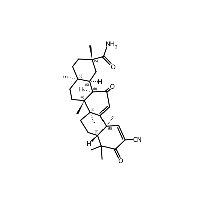 CC1(C)C(=O)C(C#N)=C[C@]2(C)C3=CC(=O)[C@@H]4[C@@H]5C[C@@](C)(C(N)=O)CC[C@]5(C)CC[C@@]4(C)[C@]3(C)CC[C@@H]12